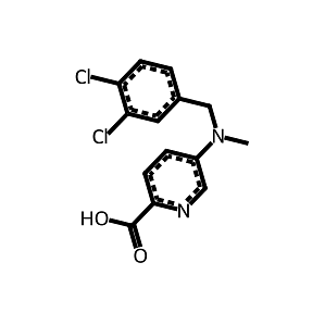 CN(Cc1ccc(Cl)c(Cl)c1)c1ccc(C(=O)O)nc1